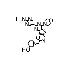 CN(Cc1cc2nc(-c3cnc(N)nc3)nc(N3CCOCC3)c2s1)C(=O)CN1CCC[C@@H](O)C1